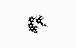 CC(=O)NCc1ccc(Nc2nccc(-c3cnc4c(c3)C(C)(CO)CN4)n2)c(C)c1